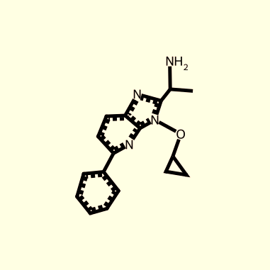 CC(N)c1nc2ccc(-c3ccccc3)nc2n1OC1CC1